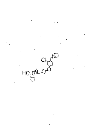 C1CCCC1.CN(CC1CC(Oc2ccc(CN3CCCC3)c(Cl)c2)C1)C(=O)O